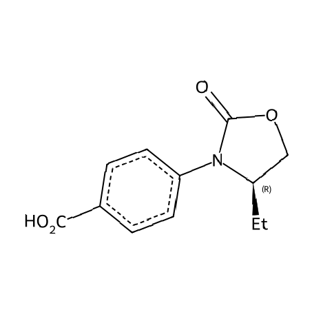 CC[C@@H]1COC(=O)N1c1ccc(C(=O)O)cc1